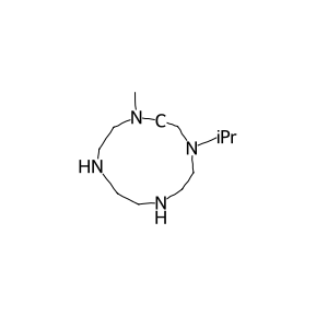 CC(C)N1CCNCCNCCN(C)CC1